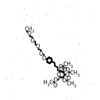 CCOCCOCCOCCOCOc1ccc(CCCC[C@@]2(O)O[C@H](COC(C)=O)[C@@H](OC(C)=O)[C@H](OC(C)=O)[C@H]2OC(C)=O)cc1